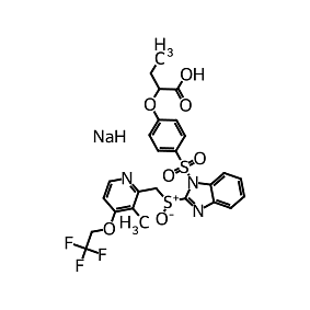 CCC(Oc1ccc(S(=O)(=O)n2c([S+]([O-])Cc3nccc(OCC(F)(F)F)c3C)nc3ccccc32)cc1)C(=O)O.[NaH]